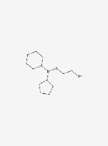 SCCSN(C1CCCCC1)C1CCCC1